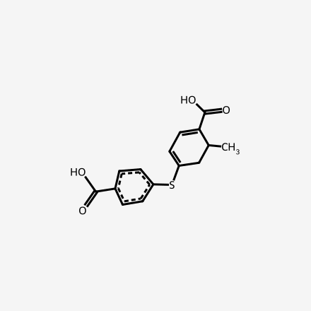 CC1CC(Sc2ccc(C(=O)O)cc2)=CC=C1C(=O)O